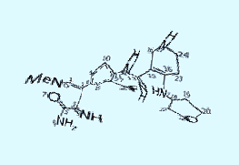 CN/C=C(\C(=N)C(N)=O)c1ccc(NC(=N)C2=C(NC3CCOC3)CCNC2)c(F)c1